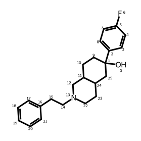 OC1(c2ccc(F)cc2)CCC2CN(CCc3ccccc3)CCC2C1